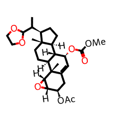 COC(=O)O[C@@H]1C=C2C[C@@H](OC(C)=O)[C@@H]3O[C@@H]3[C@]2(C)[C@H]2CC[C@]3(C)[C@@H](C(C)C4OCCO4)CC[C@H]3[C@H]12